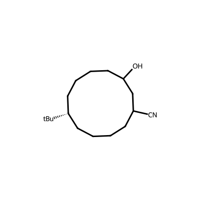 CC(C)(C)[C@@H]1CCCCC(O)CC(C#N)CCCC1